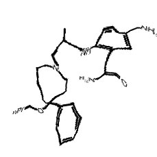 CCCOC1(c2ccccc2)CCN(CC(C)Nc2ccc(N)cc2C(N)=O)CC1